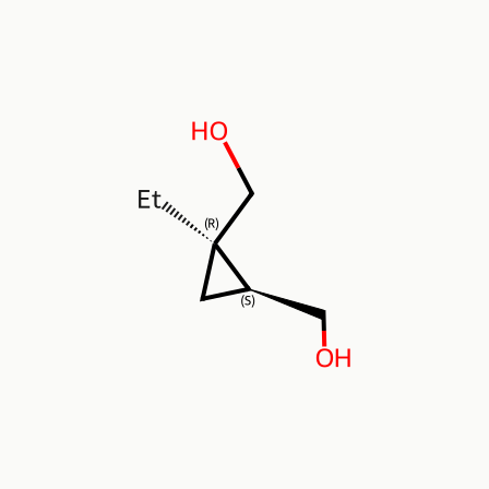 CC[C@@]1(CO)C[C@@H]1CO